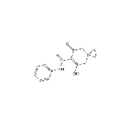 C=C(Nc1ccccc1)C1=C(O)CC2(CC2)CC1=O